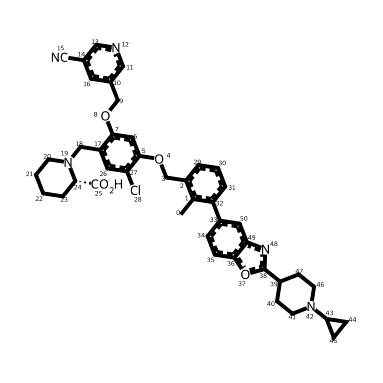 Cc1c(COc2cc(OCc3cncc(C#N)c3)c(CN3CCCC[C@H]3C(=O)O)cc2Cl)cccc1-c1ccc2oc(C3CCN(C4CC4)CC3)nc2c1